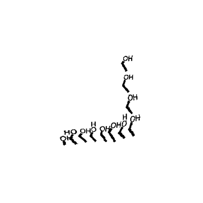 CCO.CCO.CCO.CCO.CCO.CCO.CCO.CCO.CCO.CCO.CO